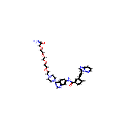 Cc1ccc(C(=O)Nc2ccc3c(N4CCN(CCOCCOCCOCCOCC(N)=O)CC4)ncnc3c2)cc1C#Cc1cnc2cccnn12